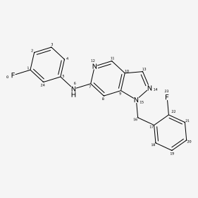 Fc1cccc(Nc2cc3c(cn2)cnn3Cc2ccccc2F)c1